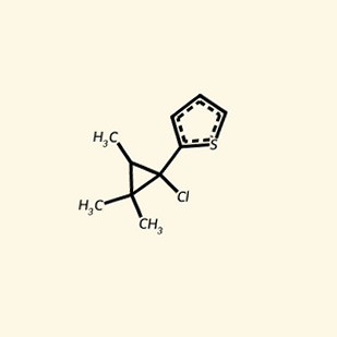 CC1C(C)(C)C1(Cl)c1cccs1